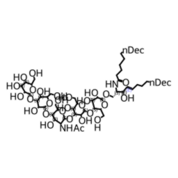 CCCCCCCCCCCCC/C=C/[C@@H](O)[C@H](CO[C@@H]1OC(CO)[C@@H](O[C@@H]2OC(CO)[C@H](O)[C@H](O[C@@H]3OC(CO)[C@@H](O[C@@H]4OC(CO)[C@H](O)[C@H](O[C@@H]5OC(CO)[C@H](O)[C@H](O)C5O)C4O)[C@H](O)C3NC(C)=O)C2O)[C@H](O)C1O)NC(=O)CCCCCCCCCCCCCCC